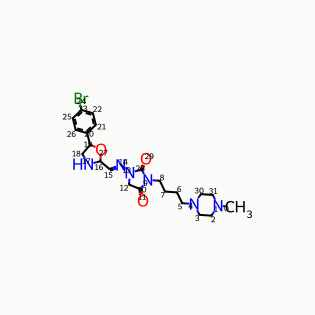 CN1CCN(CCCCN2C(=O)CN(/N=C/C3NCC(c4ccc(Br)cc4)O3)C2=O)CC1